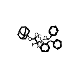 O=C(OC12CC3CC(CC(C3)C1)C2)C(F)(F)S(=O)(=O)OS(c1ccccc1)(c1ccccc1)c1ccccc1